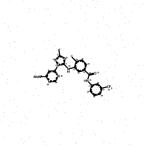 CNc1cc(-n2nc(C)nc2Nc2cc(C(=O)Nc3cccc(C(F)(F)F)c3)ccc2C)ncn1